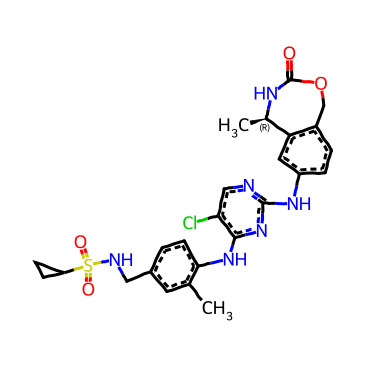 Cc1cc(CNS(=O)(=O)C2CC2)ccc1Nc1nc(Nc2ccc3c(c2)[C@@H](C)NC(=O)OC3)ncc1Cl